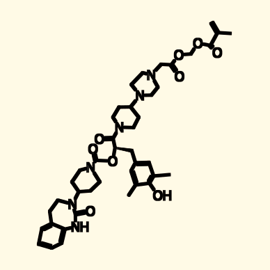 C=C(C)C(=O)OCOC(=O)CN1CCN(C2CCN(C(=O)[C@@H](Cc3cc(C)c(O)c(C)c3)OC(=O)N3CCC(N4CCc5ccccc5NC4=O)CC3)CC2)CC1